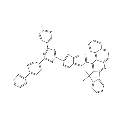 CC1(C)c2ccccc2-c2nc3ccc4ccccc4c3c(-c3ccc4cc(-c5nc(-c6ccccc6)nc(-c6ccc(-c7ccccc7)cc6)n5)ccc4c3)c21